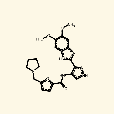 COc1cc2nc(-c3n[nH]cc3NC(=O)c3ccc(CN4CCCC4)o3)[nH]c2cc1OC